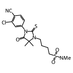 CNS(=O)(=O)CCCCN1C(=S)N(c2ccc(C#N)c(Cl)c2)C(=O)C1(C)C